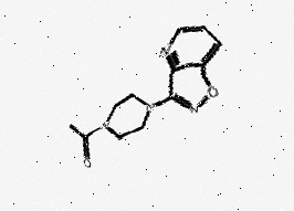 CC(=O)N1CCN(c2noc3cccnc23)CC1